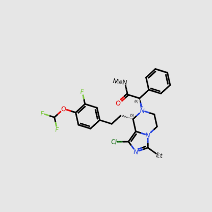 CCc1nc(Cl)c2n1CCN([C@@H](C(=O)NC)c1ccccc1)[C@H]2CCc1ccc(OC(F)F)c(F)c1